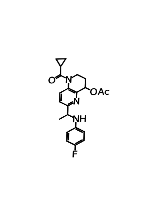 CC(=O)OC1CCN(C(=O)C2CC2)c2ccc(C(C)Nc3ccc(F)cc3)nc21